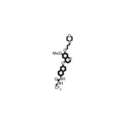 COc1cc2c(Oc3ccc4cc(NC(=O)NCC(F)(F)F)ccc4c3)ccnc2cc1OCCCN1CCOCC1